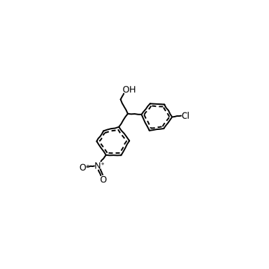 O=[N+]([O-])c1ccc(C(CO)c2ccc(Cl)cc2)cc1